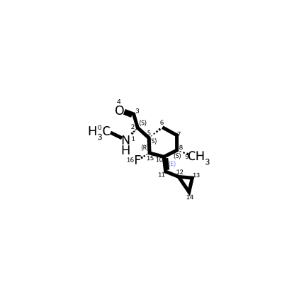 CN[C@H](C=O)[C@@H]1CC[C@H](C)/C(=C\C2CC2)[C@@H]1F